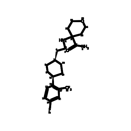 NC(=O)C1(NCC[C@H]2CC[C@H](c3ccc(F)cc3C(F)(F)F)CC2)CCOCC1